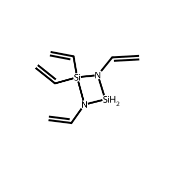 C=CN1[SiH2]N(C=C)[Si]1(C=C)C=C